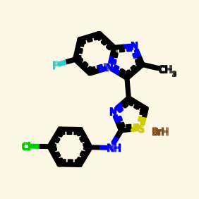 Br.Cc1nc2ccc(F)cn2c1-c1csc(Nc2ccc(Cl)cc2)n1